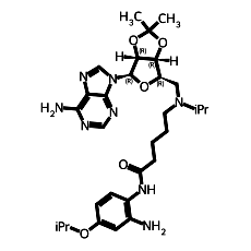 CC(C)Oc1ccc(NC(=O)CCCCN(C[C@H]2O[C@@H](n3cnc4c(N)ncnc43)[C@@H]3OC(C)(C)O[C@@H]32)C(C)C)c(N)c1